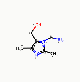 Cc1nc(C)n(CN)c1CO